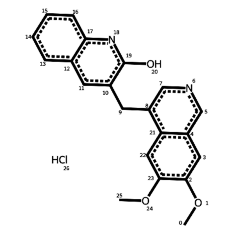 COc1cc2cncc(Cc3cc4ccccc4nc3O)c2cc1OC.Cl